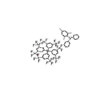 Cc1cc(C)c([S+](c2ccccc2)c2ccccc2)c(C)c1.FC(F)(F)c1cc([B-](c2cc(C(F)(F)F)cc(C(F)(F)F)c2)(c2cc(C(F)(F)F)cc(C(F)(F)F)c2)c2cc(C(F)(F)F)cc(C(F)(F)F)c2)cc(C(F)(F)F)c1